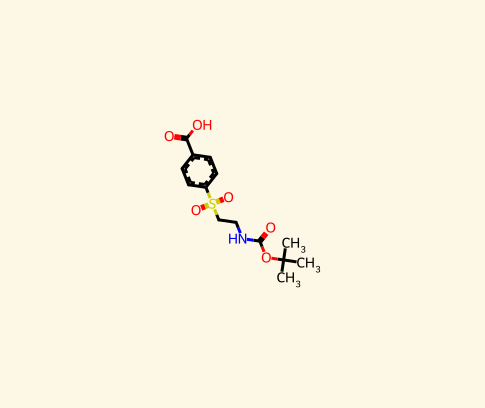 CC(C)(C)OC(=O)NCCS(=O)(=O)c1ccc(C(=O)O)cc1